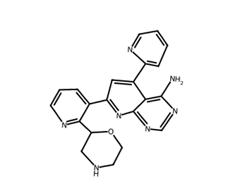 Nc1ncnc2nc(-c3cccnc3C3CNCCO3)cc(-c3ccccn3)c12